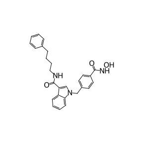 O=C(NO)c1ccc(Cn2cc(C(=O)NCCCCc3ccccc3)c3ccccc32)cc1